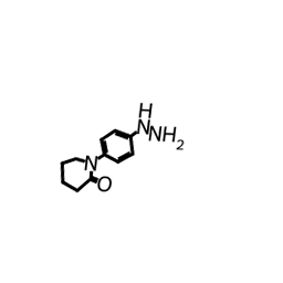 NNc1ccc(N2CCCCC2=O)cc1